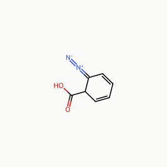 [N-]=[N+]=C1C=CC=CC1C(=O)O